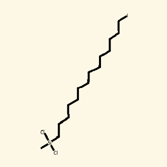 C[Si](Cl)(Cl)CCCCCCCCCCCCCCI